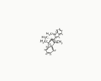 C[C@@H]1N(c2cc3ccccc3n2C)C2(C)CC1(C)c1ccccc12